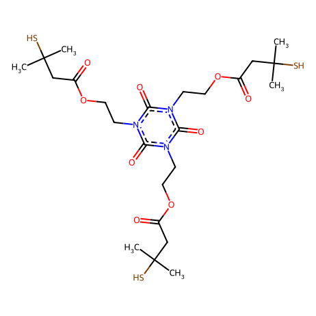 CC(C)(S)CC(=O)OCCn1c(=O)n(CCOC(=O)CC(C)(C)S)c(=O)n(CCOC(=O)CC(C)(C)S)c1=O